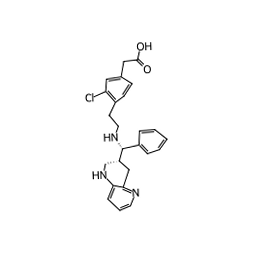 O=C(O)Cc1ccc(CCN[C@H](c2ccccc2)[C@H]2CNc3cccnc3C2)c(Cl)c1